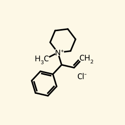 C=CC(c1ccccc1)[N+]1(C)CCCCC1.[Cl-]